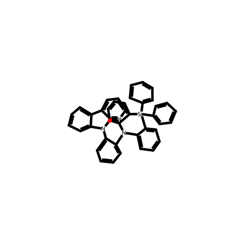 c1ccc([Si]2(c3ccccc3)c3ccccc3N(c3ccccc3-n3c4ccccc4c4cccnc43)c3ccccc32)cc1